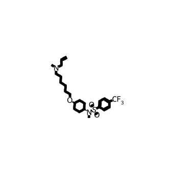 C=CCN(C)CCCCCCO[C@H]1CC[C@H](N(C)S(=O)(=O)c2ccc(C(F)(F)F)cc2)CC1